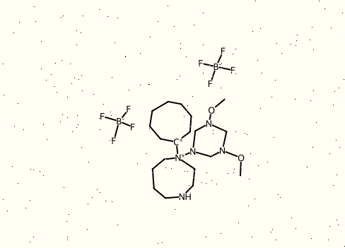 CON1CN(OC)CN([N+]2([C+]3CCCCCCC3)CCCCNCC2)C1.F[B-](F)(F)F.F[B-](F)(F)F